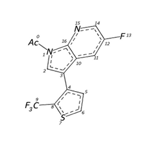 CC(=O)n1cc(-c2ccsc2C(F)(F)F)c2cc(F)cnc21